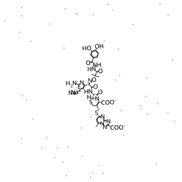 Cc1cc(SCC2=C(C(=O)[O-])N3C(=O)[C@@H](NC(=O)/C(=N\OC(C)(C)C(=O)NNC(=O)c4ccc(O)c(O)c4)c4csc(N)n4)[C@H]3SC2)nc2nc(C(=O)[O-])nn12.[Na+].[Na+]